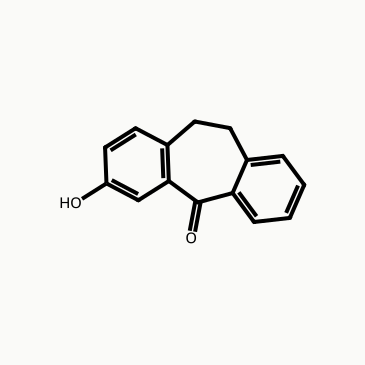 O=C1c2ccccc2CCc2ccc(O)cc21